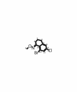 CO/N=C1\CCCc2cc(Cl)cc(Br)c21